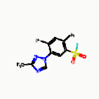 CC(C)c1cc(C(C)C)c(S(=O)(=O)F)cc1-n1cnc(C(F)(F)F)n1